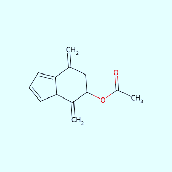 C=C1CC(OC(C)=O)C(=C)C2C=CC=C12